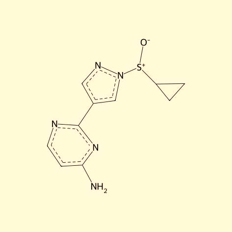 Nc1ccnc(-c2cnn([S+]([O-])C3CC3)c2)n1